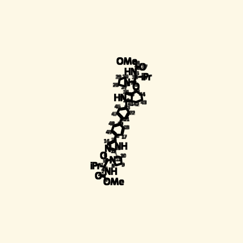 COC(=O)N[C@H](C(=O)N1CCC[C@H]1c1ncc(-c2ccc(-c3ccc(-c4[nH]c([C@@H]5CCCN5C(=O)[C@@H](NC(=O)OC)C(C)C)c5c4CCCC5)cc3)cc2)[nH]1)C(C)C